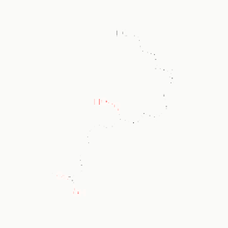 CCCCC/C=C\C/C=C\C=C\C(C/C=C\CCCC(=O)O)OO